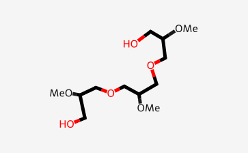 COC(CO)COCC(COCC(CO)OC)OC